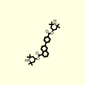 CC1(C)CC(OC(=O)c2ccc(-c3ccc4c(C(=O)OC5CC(C)(C)NC(C)(C)C5)cccc4c3)cc2)CC(C)(C)N1